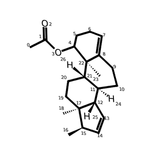 CC(=O)OC1CCC=C2CC[C@H]3[C@@H]4C=C[C@@H](C)[C@@]4(C)CC[C@@H]3[C@]21C